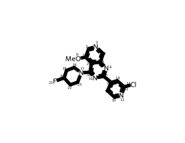 COc1cncc2nc(-c3ccnc(Cl)c3)nc(N3CCC(F)CC3)c12